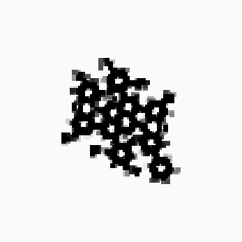 CC(C)c1cc(C(C)C)c(-c2cc3c4c(cc5c(-c6c(C(C)C)cc(C(C)C)cc6C(C)C)cc6c7c(cc2c4c57)B2c4ccc(-c5ccccc5)cc4Oc4cc(Br)cc-6c42)B2c4ccc(Br)cc4Oc4cc(Br)cc-3c42)c(C(C)C)c1